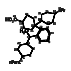 CCCCCC1CCC(C(C)c2ccccc2C2(C3CCC(CCC)CC3)CCC(C(=O)O)CC2)CC1